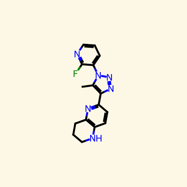 Cc1c(-c2ccc3c(n2)CCCN3)nnn1-c1cccnc1F